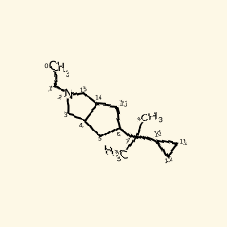 CCN1CC2CC(C(C)(C)C3CC3)CC2C1